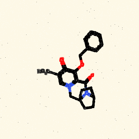 CCOC(=O)c1cn2c(c(OCc3ccccc3)c1=O)C(=O)N1C3CCC1(CC3)C2